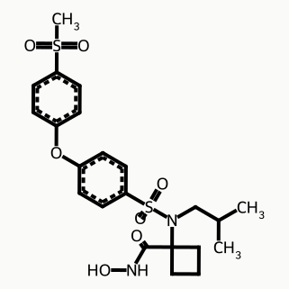 CC(C)CN(C1(C(=O)NO)CCC1)S(=O)(=O)c1ccc(Oc2ccc(S(C)(=O)=O)cc2)cc1